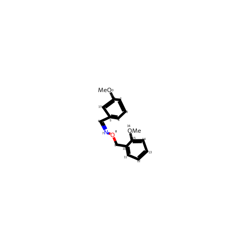 COc1cccc(/[C]=N\OCc2ccccc2OC)c1